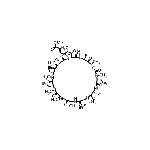 CC[C@H]1NC(=O)[C@H]([C@H](OC(C)=O)[C@H](C)C/C=C/C(=O)OC)N(C)C(=O)[C@@H](C(C)C)N(C)C(=O)[C@@H](CC(C)C)N(C)C(=O)[C@H](CC(C)C)N(C)C(=O)[C@H](C)NC(=O)[C@@H](C)NC(=O)[C@@H](CC(C)C)N(C)C(=O)[C@@H](C(C)C)NC(=O)[C@H](CC(C)C)N(C)C(=O)CN(C)C1=O